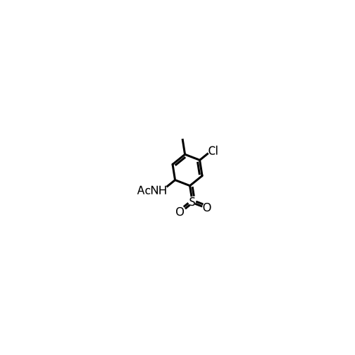 CC(=O)NC1C=C(C)C(Cl)=CC1=S(=O)=O